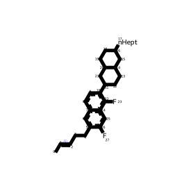 C/C=C/CCc1cc2ccc(C3CCC4CC(CCCCCCC)CCC4C3)c(F)c2cc1F